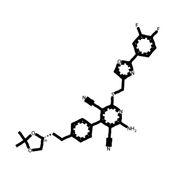 CC1(C)OC[C@@H](CCc2ccc(-c3c(C#N)c(N)nc(SCc4coc(-c5ccc(F)c(F)c5)n4)c3C#N)cc2)O1